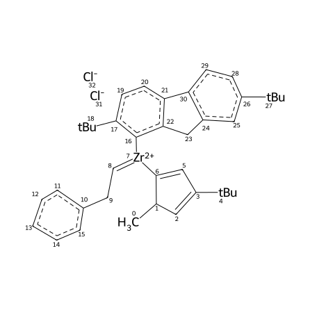 CC1C=C(C(C)(C)C)C=[C]1[Zr+2](=[CH]Cc1ccccc1)[c]1c(C(C)(C)C)ccc2c1Cc1cc(C(C)(C)C)ccc1-2.[Cl-].[Cl-]